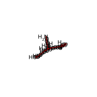 NCCOCCOCCOCCNC(=O)CCC(N)(CCC(=O)NCCOCCOCCOCCNSc1ccc(O)cc1)CCC(=O)NCCOCCOCCOCCN[S+]([O-])c1ccc(O[C@@H]2CCc3ccccc32)cc1